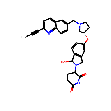 CC#Cc1ccc2cc(CN3CC[C@H](Oc4ccc5c(c4)CN(C4CCC(=O)NC4=O)C5O)C3)ccc2n1